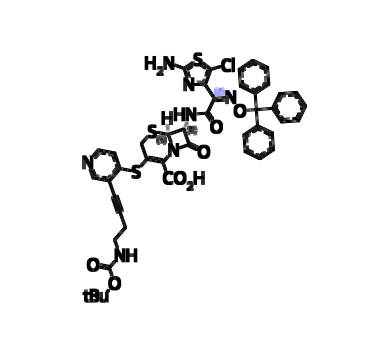 CC(C)(C)OC(=O)NCCC#Cc1cnccc1SC1=C(C(=O)O)N2C(=O)[C@@H](NC(=O)/C(=N\OC(c3ccccc3)(c3ccccc3)c3ccccc3)c3nc(N)sc3Cl)[C@@H]2SC1